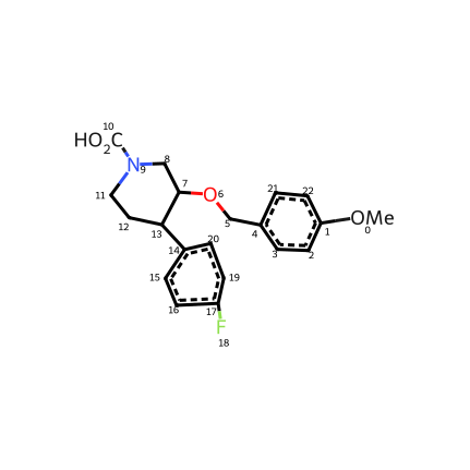 COc1ccc(COC2CN(C(=O)O)CCC2c2ccc(F)cc2)cc1